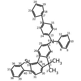 CC1(C)c2cc(N(c3ccccc3)c3ccc(-c4ccccc4)cc3)ccc2-c2c1ccc1c2sc2ccccc21